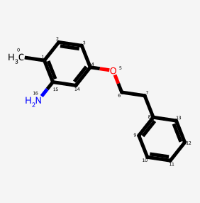 Cc1ccc(OCCc2ccccc2)cc1N